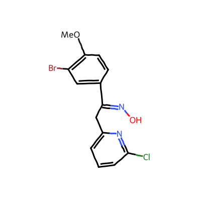 COc1ccc(C(Cc2cccc(Cl)n2)=NO)cc1Br